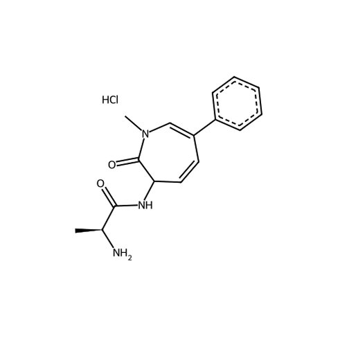 C[C@H](N)C(=O)NC1C=CC(c2ccccc2)=CN(C)C1=O.Cl